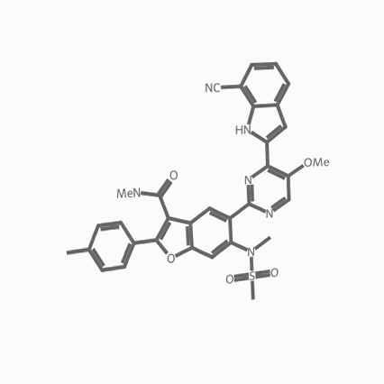 CNC(=O)c1c(-c2ccc(C)cc2)oc2cc(N(C)S(C)(=O)=O)c(-c3ncc(OC)c(-c4cc5cccc(C#N)c5[nH]4)n3)cc12